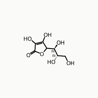 O=C1OC([C@@H](O)[C@@H](O)CO)C(O)=C1O